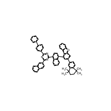 CC1(C)CCC(C)(C)c2cc(-c3cc(-c4ccc(-c5nc(-c6ccc(-c7ccccc7)cc6)nc(-c6ccc7ccccc7c6)n5)c5ccccc45)c4c(c3)oc3ccccc34)ccc21